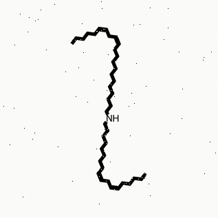 CCCCC/C=C\C/C=C\CCCCCCCCCCCNCCCCCCCC/C=C\C/C=C\CCCCC